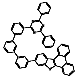 c1ccc(-c2nc(-c3ccccc3)nc(-c3cccc(-c4cccc(-c5cccc(-c6ccc7c(c6)sc6c8ccccc8c8ccccc8c76)c5)c4)c3)n2)cc1